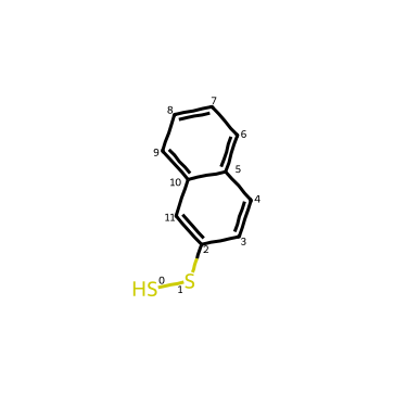 SSc1ccc2ccccc2c1